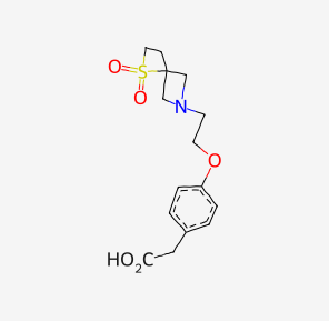 O=C(O)Cc1ccc(OCCN2CC3(CCS3(=O)=O)C2)cc1